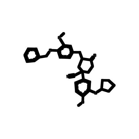 COc1cc(CC2CC(C#N)(c3ccc(OC)c(OC4CCCC4)c3)CCC2=O)ccc1OCc1ccccc1